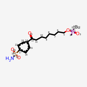 CC(C)(C)P(C)(=O)OCCCCCCCC(=O)c1ccc(S(N)(=O)=O)cc1